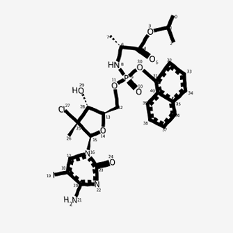 CC(C)OC(=O)[C@@H](C)NP(=O)(OC[C@H]1O[C@@H](n2cc(I)c(N)nc2=O)[C@](C)(Cl)[C@@H]1O)Oc1cccc2ccccc12